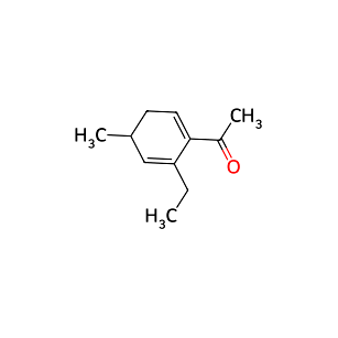 CCC1=CC(C)CC=C1C(C)=O